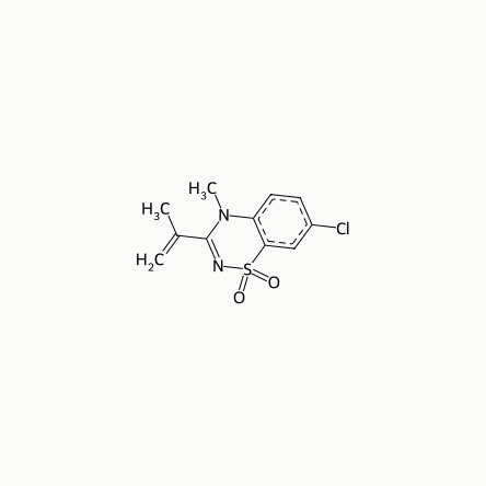 C=C(C)C1=NS(=O)(=O)c2cc(Cl)ccc2N1C